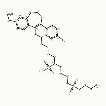 CS(=O)(=O)N(CCCCCCC1=C(c2ccc(F)cc2)CCCc2cc(CS(=O)(=O)O)ccc21)CCCCS(=O)(=O)CCCC(F)(F)F